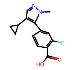 Cn1ncc(C2CC2)c1-c1ccc(C(=O)O)c(F)c1